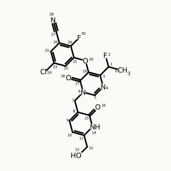 CC(F)c1ncn(Cc2ccc(CO)[nH]c2=O)c(=O)c1Oc1cc(Cl)cc(C#N)c1F